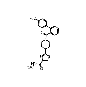 CC(C)(C)NC(=O)c1csc(C2CCN(C(=O)c3ccccc3-c3ccc(C(F)(F)F)cc3)CC2)n1